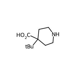 CC(C)(C)C1(C(=O)O)CCNCC1